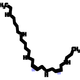 CCCNC/C=C\CNC/C=C\CNCCCCNCCCCNCC